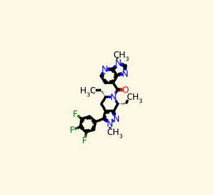 CC[C@H]1Cc2c(nn(C)c2-c2cc(F)c(F)c(F)c2)[C@@H](CC)N1C(=O)c1ccnc2c1ncn2C